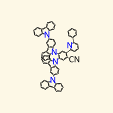 N#Cc1cc(-n2c3ccccc3c3cc(-n4c5ccccc5c5ccccc54)ccc32)c(-n2c3ccccc3c3cc(-n4c5ccccc5c5ccccc54)ccc32)cc1-c1cccc(-c2ccccc2)n1